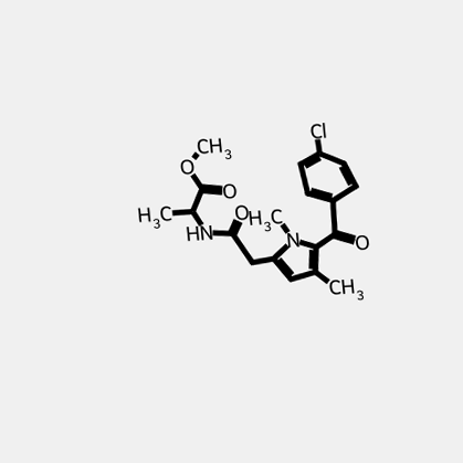 COC(=O)C(C)NC(=O)Cc1cc(C)c(C(=O)c2ccc(Cl)cc2)n1C